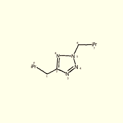 CC(C)Cc1nnn(CC(C)C)n1